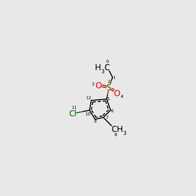 CCS(=O)(=O)c1cc(C)cc(Cl)c1